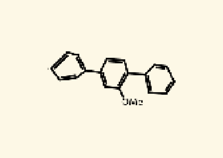 COc1cc(-c2cc[c]cc2)ccc1-c1ccccc1